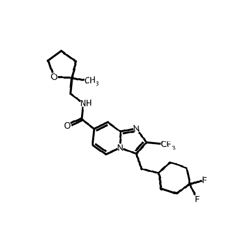 CC1(CNC(=O)c2ccn3c(CC4CCC(F)(F)CC4)c(C(F)(F)F)nc3c2)CCCO1